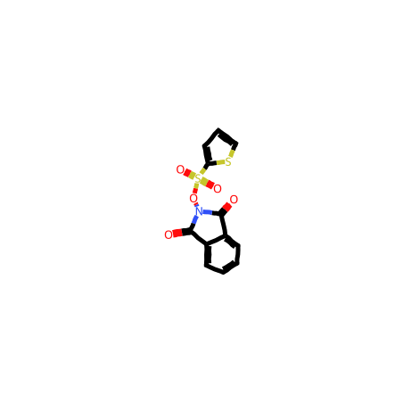 O=C1c2ccccc2C(=O)N1OS(=O)(=O)c1cccs1